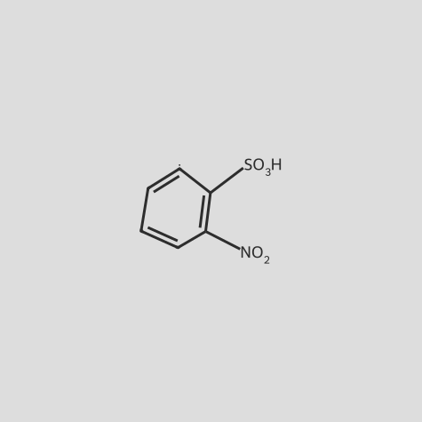 O=[N+]([O-])c1ccc[c]c1S(=O)(=O)O